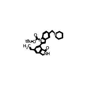 C=Cc1cc2c(c(-c3cc4cc(CN5CCCCC5)ccc4n3C(=O)OC(C)(C)C)c1)C(=O)NC2